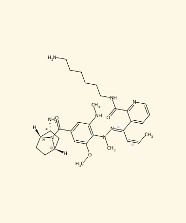 C/C=C\C(=N/N(C)c1c(NC)cc(C(=O)N2[C@H]3CC[C@@H]2[C@H](N)C3)cc1OC)c1cccnc1C(=O)NCCCCCCN